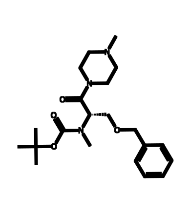 CN1CCN(C(=O)[C@H](COCc2ccccc2)N(C)C(=O)OC(C)(C)C)CC1